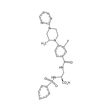 CC1CN(c2ncccn2)CCN1c1ccc(C(=O)NC[C@H](NS(=O)(=O)c2ccccc2)C(=O)O)cc1F